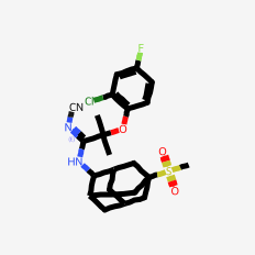 CC(C)(Oc1ccc(F)cc1Cl)/C(=N\C#N)NC1C2CC3CC1CC(S(C)(=O)=O)(C3)C2